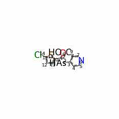 O=C([AsH]c1ccncc1C(=O)O)c1ccc(Cl)s1